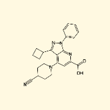 N#CC1CCN(c2cc(C(=O)O)nc3c2c(C2CCC2)nn3-c2ccccc2)CC1